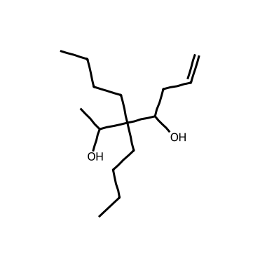 C=CCC(O)C(CCCC)(CCCC)C(C)O